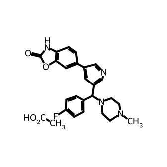 CC(=O)O.CN1CCN(C(c2ccc(F)cc2)c2cncc(-c3ccc4[nH]c(=O)oc4c3)c2)CC1